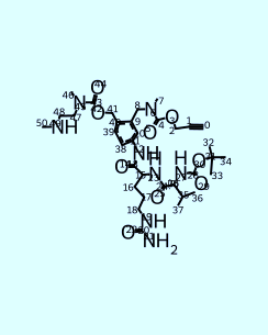 C#CCOC(=O)N(C)Cc1cc(NC(=O)C(CCCNC(N)=O)NC(=O)[C@H](NC(=O)OC(C)(C)C)C(C)C)ccc1COC(=O)N(C)CCNC